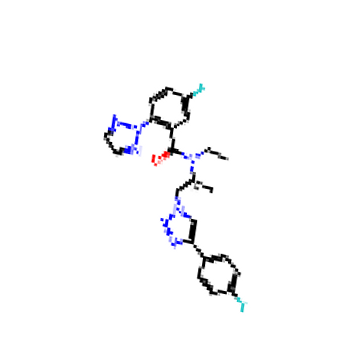 CCN(C(=O)c1cc(F)ccc1-n1nccn1)[C@@H](C)Cn1cc(-c2ccc(F)cc2)nn1